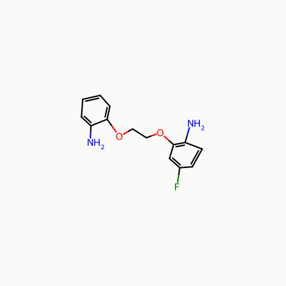 Nc1ccccc1OCCOc1cc(F)ccc1N